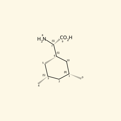 C[C@@H]1C[C@H](C)C[C@H]([C@H](N)C(=O)O)C1